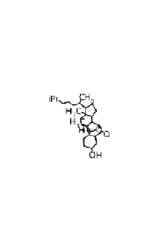 CC(C)CCCC(C)C1CCC2C3C4O[C@H](C)C5(CCC(O)CC5C4=O)C3CCC12C